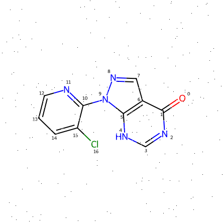 O=c1nc[nH]c2c1cnn2-c1ncccc1Cl